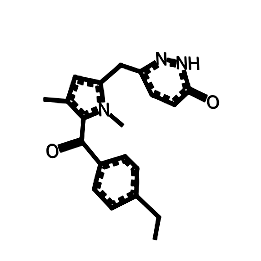 CCc1ccc(C(=O)c2c(C)cc(Cc3ccc(=O)[nH]n3)n2C)cc1